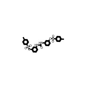 Cc1ccc(S(=O)(=O)Oc2cccc(NC(=O)Nc3cccc(OS(=O)(=O)c4ccc(C)cc4)c3)c2)cc1